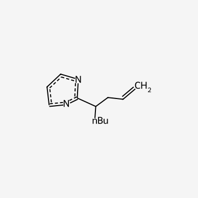 C=CCC(CCCC)c1ncccn1